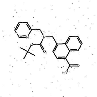 CC(C)(C)OC(=O)N(Cc1ccccn1)Cc1ccc(C(=O)O)c2ccccc12